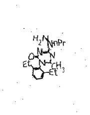 CCCN(N)c1nc(C)n(-c2c(CC)cccc2CC)c(=O)n1